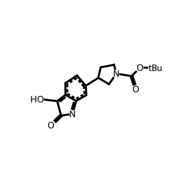 CC(C)(C)OC(=O)N1CCC(c2ccc3c(c2)=NC(=O)C=3O)C1